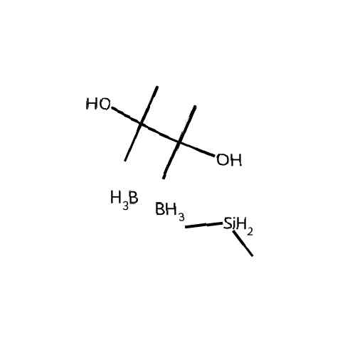 B.B.CC(C)(O)C(C)(C)O.C[SiH2]C